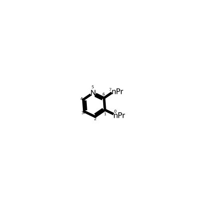 CCCc1c[c]cnc1CCC